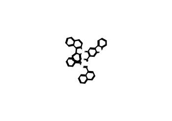 c1ccc(-c2nc(-c3cc4oc5ccccc5c4cc3-n3c4ccccc4c4c5ccccc5ccc43)nc(-c3cccc4ccccc34)n2)cc1